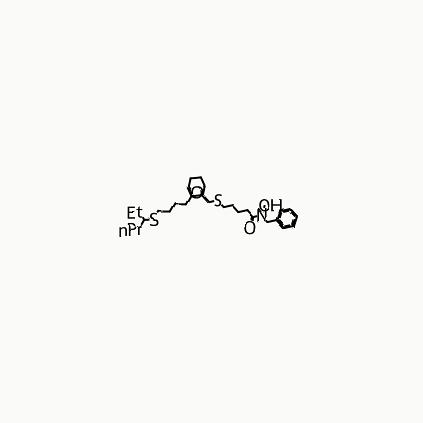 CCCC(CC)SCCCCC1C2CCC(O2)C1CSCCCCC(=O)N(O)Cc1ccccc1